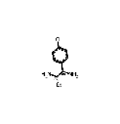 CC[C@H](N)[C@H](N)c1ccc(Cl)cc1